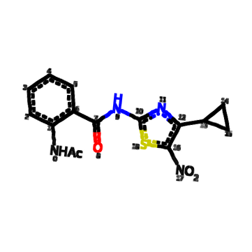 CC(=O)Nc1ccccc1C(=O)Nc1nc(C2CC2)c([N+](=O)[O-])s1